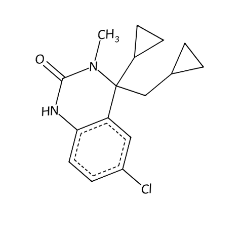 CN1C(=O)Nc2ccc(Cl)cc2C1(CC1CC1)C1CC1